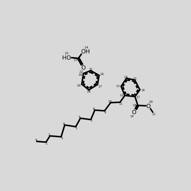 CCCCCCCCCCCCc1ccccc1C(=O)OC.O=C(O)O.c1ccccc1